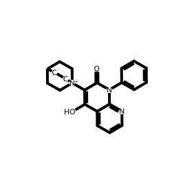 O=c1c([N+]23CCC(CC2)CC3)c(O)c2cccnc2n1-c1ccccc1